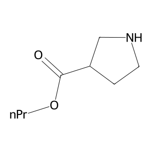 CCCOC(=O)C1CCNC1